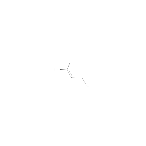 CCCC/C=C(/O)CC